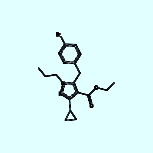 CCCn1nc(C2CC2)c(C(=O)OCC)c1Cc1ccc(Br)cc1